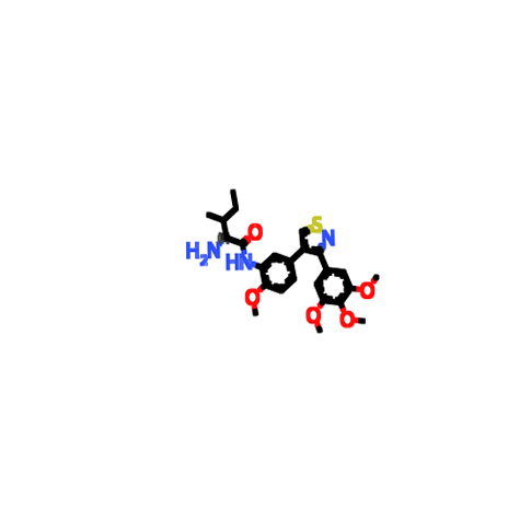 CCC(C)[C@@H](N)C(=O)Nc1cc(-c2csnc2-c2cc(OC)c(OC)c(OC)c2)ccc1OC